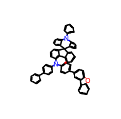 c1ccc(-c2ccc(N(c3ccc(-c4ccc5oc6ccccc6c5c4)cc3)c3cccc4c3-c3ccccc3C43c4ccccc4N(c4ccccc4)c4ccccc43)cc2)cc1